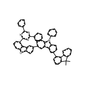 CC1(C)c2ccccc2-c2c(-c3ccc4c(c3)c3cc(-c5ccc6oc7cccc(-c8nc(-c9ccccc9)nc(-c9ccccc9)n8)c7c6c5)ccc3n4-c3ccccc3)cccc21